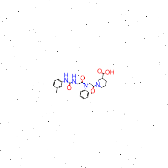 Cc1cccc(NC(=O)NCC(=O)N(CC(=O)N2CCCC(C(=O)O)C2)c2ccccc2)c1